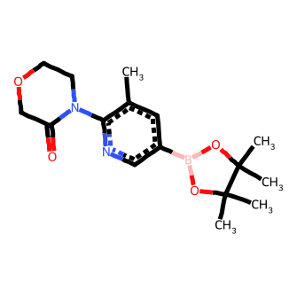 Cc1cc(B2OC(C)(C)C(C)(C)O2)cnc1N1CCOCC1=O